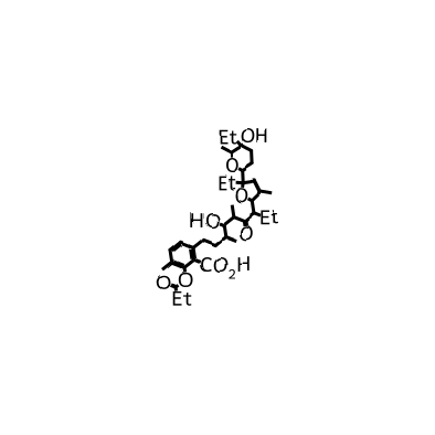 CCC(=O)Oc1c(C)ccc(CCC(C)C(O)C(C)C(=O)C(CC)C2OC(CC)(C3CCC(O)(CC)C(C)O3)CC2C)c1C(=O)O